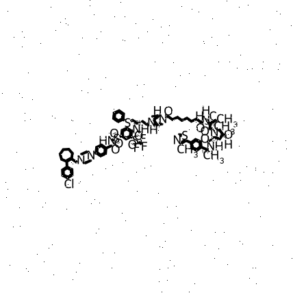 Cc1ncsc1-c1ccc([C@H](C)NC(=O)[C@@H]2C[C@@H](O)CN2C(=O)[C@@H](NC(=O)CCCCCCC(=O)N2C[C@@H]3C[C@H]2CN3CC[C@H](CSc2ccccc2)Nc2ccc(S(=O)(=O)NC(=O)c3ccc(N4CCN(CC5=C(c6ccc(Cl)cc6)CCCCC5)CC4)cc3)cc2S(=O)(=O)C(F)(F)F)C(C)(C)C)cc1